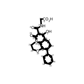 O=C(O)CNC(=O)c1c(O)c2ccc(-c3ccccc3)c3c2n(c1=O)CCO3